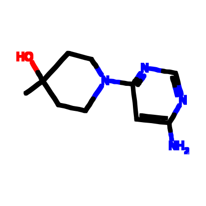 CC1(O)CCN(c2cc(N)ncn2)CC1